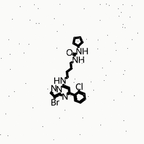 O=C(NCCCCNc1cc(-c2ccccc2Cl)nc2c(Br)cnn12)NC1CCCC1